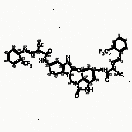 CC(=O)C(/N=N/c1ccccc1C(F)(F)F)C(=O)Nc1ccc2c(c1)[nH]c(=O)n2Cn1c(=O)[nH]c2cc(NC(=O)C(/N=N/c3ccccc3C(F)(F)F)C(C)=O)ccc21